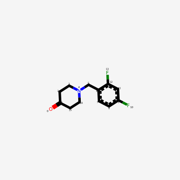 O=C1CCN(Cc2ccc(F)cc2F)CC1